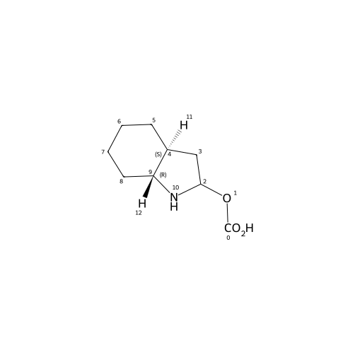 O=C(O)OC1C[C@@H]2CCCC[C@H]2N1